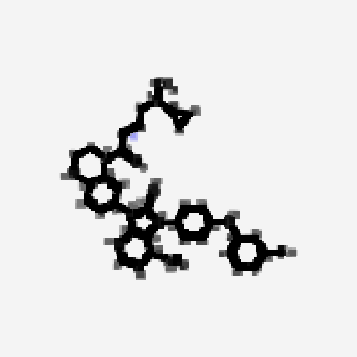 CN(C/C=C/C(=O)N1CCOc2ccc(-n3c(=O)n(-c4ccc(Oc5cccc(F)c5)cc4)c4c(N)ncnc43)cc21)C1CC1